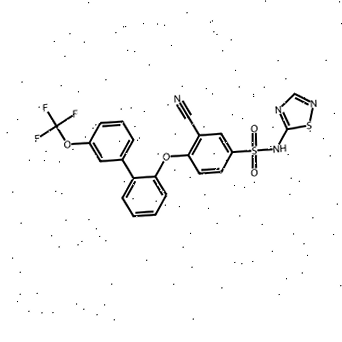 N#Cc1cc(S(=O)(=O)Nc2ncns2)ccc1Oc1ccccc1-c1cccc(OC(F)(F)F)c1